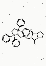 O=C1C2CCCC2C(=O)N1CCCN1[Si](c2ccccc2)(c2ccccc2)CC[Si]1(c1ccccc1)c1ccccc1